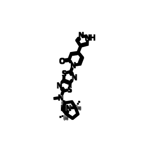 CN(c1nc2sc(-n3ccc(-c4cn[nH]c4)cc3=O)nc2s1)[C@H]1C[C@]2(C)CC[C@](C)(C1)N2